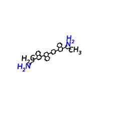 C=C(CCCN)C1C=CC(C2=C3C=CCCC3C(C3=CC=C(C4CC=C(C(CN)CCC)C5C=CCCC54)CC3)CC2)=C2C=CC=CC21